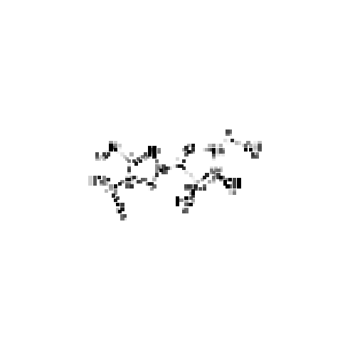 O=c1[nH]cnc2nn(C3O[C@H](CO)[C@@H](O)[C@H]3O)cc12